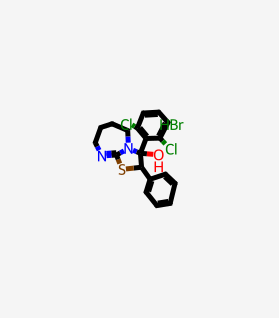 Br.OC1(c2c(Cl)cccc2Cl)C(c2ccccc2)SC2=NCCCCN21